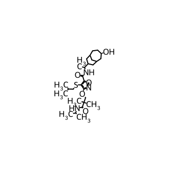 CC(C)CSc1c(OCC(C)(C)C(=O)NC(C)C)noc1C(=O)NC(C)C1CC2CC[C@@H](O)CC(C2)C1